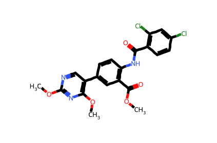 COC(=O)c1cc(-c2cnc(OC)nc2OC)ccc1NC(=O)c1ccc(Cl)cc1Cl